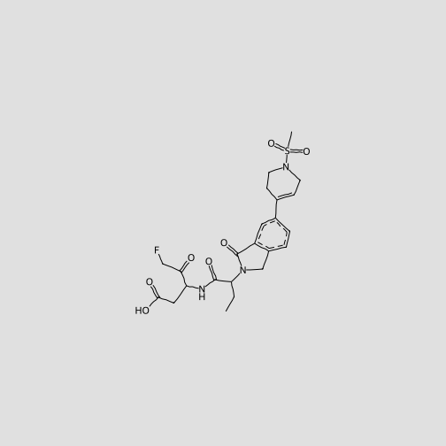 CCC(C(=O)NC(CC(=O)O)C(=O)CF)N1Cc2ccc(C3=CCN(S(C)(=O)=O)CC3)cc2C1=O